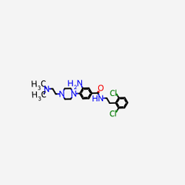 CN(C)CCN1CCN(c2ccc(C(=O)NCCc3c(Cl)cccc3Cl)cc2N)CC1